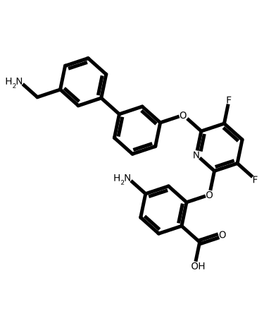 NCc1cccc(-c2cccc(Oc3nc(Oc4cc(N)ccc4C(=O)O)c(F)cc3F)c2)c1